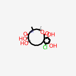 C/C1=C/C(=O)[C@@H](O)[C@@H](O)CCCCc2c(Cl)c(O)cc(O)c2C(=O)O[C@@H](C)C1